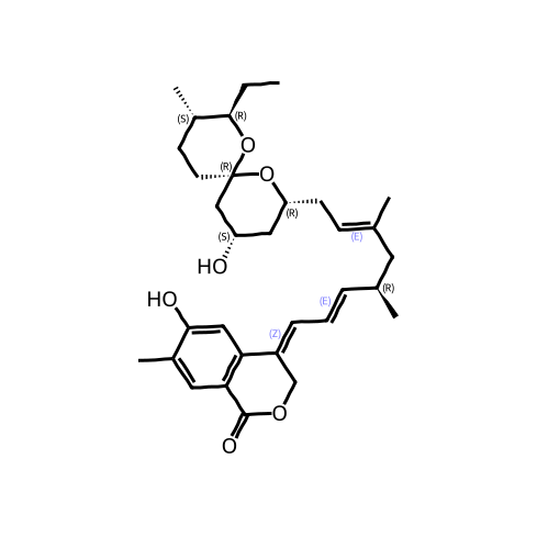 CC[C@H]1O[C@]2(CC[C@@H]1C)C[C@@H](O)C[C@@H](C/C=C(\C)C[C@@H](C)/C=C/C=C1\COC(=O)c3cc(C)c(O)cc31)O2